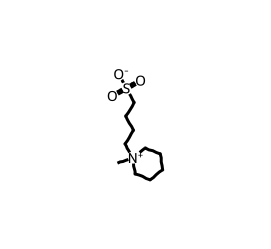 C[N+]1(CCCCS(=O)(=O)[O-])CCCCC1